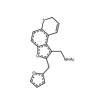 CC(=O)NCc1c(Cc2ccco2)oc2ccc3c(c12)C=CCS3